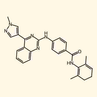 CC1=CCCC(C)=C1NC(=O)c1ccc(Nc2nc(-c3cnn(C)c3)c3ccccc3n2)cc1